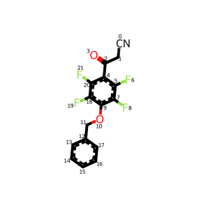 N#CCC(=O)c1c(F)c(F)c(OCc2ccccc2)c(F)c1F